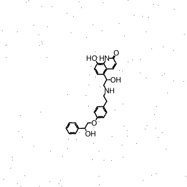 O=c1ccc2c([C@@H](O)CNCCc3ccc(OC[C@@H](O)c4ccccc4)cc3)ccc(O)c2[nH]1